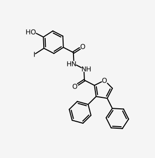 O=C(NNC(=O)c1occ(-c2ccccc2)c1-c1ccccc1)c1ccc(O)c(I)c1